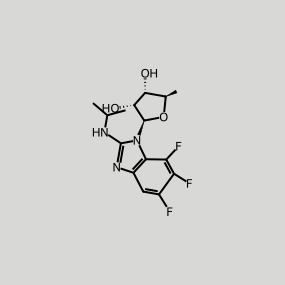 CC(C)Nc1nc2cc(F)c(F)c(F)c2n1[C@@H]1O[C@H](C)[C@@H](O)[C@H]1O